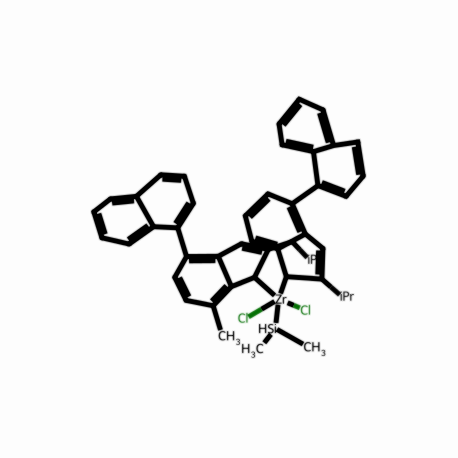 Cc1ccc(-c2cccc3ccccc23)c2c1[CH]([Zr]([Cl])([Cl])([CH]1C(C(C)C)=Cc3c(-c4cccc5ccccc45)cccc31)[SiH](C)C)C(CC(C)C)=C2